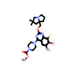 CC1(C)CN2CCCC2(COc2nc(N3CCN(C(=O)OC(C)(C)C)CC3)c3cc(C(F)(F)F)c(Br)c(F)c3n2)C1